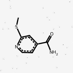 CSc1cc(C(N)=O)ccn1